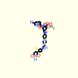 CC(C)(O)c1cc2nn(C3CCC(N4CCN(CCNc5cc(F)c(C6CCC(=O)NC6=O)c(F)c5)CC4)CC3)cc2cc1NC(=O)c1ccc2cc(C#N)cnn12